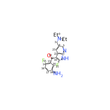 CCN(CC)Cc1cnc2[nH]cc(C(=O)c3c(F)ccc(N)c3F)c2c1